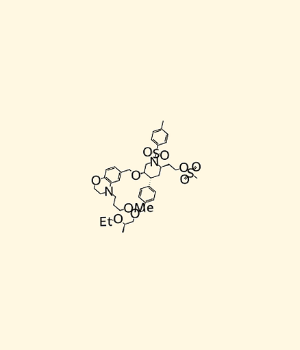 CCO[C@H](C)COCc1ccc([C@H]2C[C@H](CCOS(C)(=O)=O)N(S(=O)(=O)c3ccc(C)cc3)C[C@@H]2OCc2ccc3c(c2)N(CCCOC)CCO3)cc1